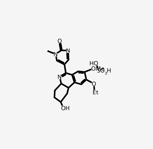 CCOc1cc2c(cc1OC)C(c1cnc(=O)n(C)c1)=NC1CCC(O)CC21.O=S(=O)(O)O